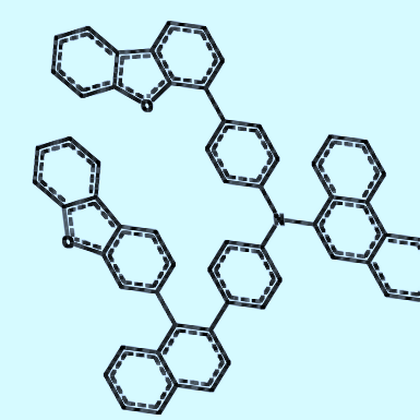 c1ccc2c(-c3ccc4c(c3)oc3ccccc34)c(-c3ccc(N(c4ccc(-c5cccc6c5oc5ccccc56)cc4)c4cc5ccccc5c5ccccc45)cc3)ccc2c1